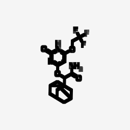 NC(=O)C(Oc1cc(OCC(F)(F)F)[nH]c(=O)n1)C12CC3CC(CC(C3)C1)C2